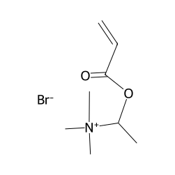 C=CC(=O)OC(C)[N+](C)(C)C.[Br-]